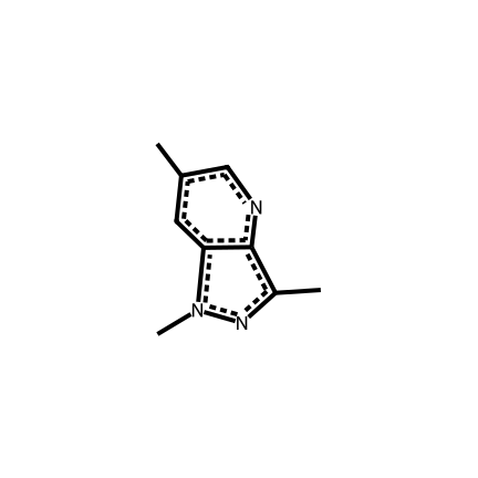 Cc1cnc2c(C)nn(C)c2c1